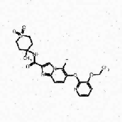 CC1(NC(=O)c2cn3c(F)c(Oc4ncccc4OCC(F)(F)F)ccc3n2)CCS(=O)(=O)CC1